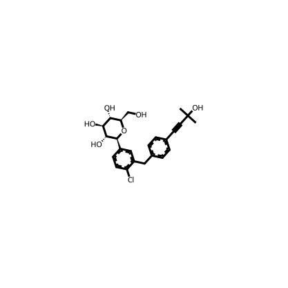 CC(C)(O)C#Cc1ccc(Cc2cc([C@@H]3O[C@H](CO)[C@@H](O)[C@H](O)[C@H]3O)ccc2Cl)cc1